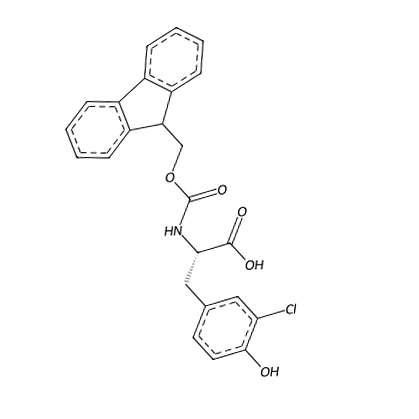 O=C(N[C@@H](Cc1ccc(O)c(Cl)c1)C(=O)O)OCC1c2ccccc2-c2ccccc21